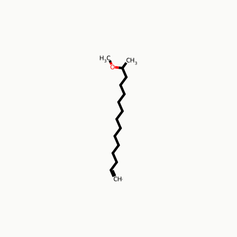 [CH]=CCCCCCCCCCCCC(C)OC